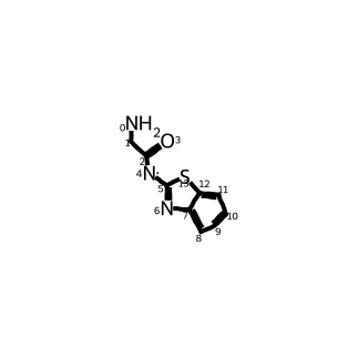 NCC(=O)[N]c1nc2ccccc2s1